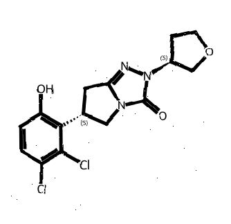 O=c1n([C@H]2CCOC2)nc2n1C[C@H](c1c(O)ccc(Cl)c1Cl)C2